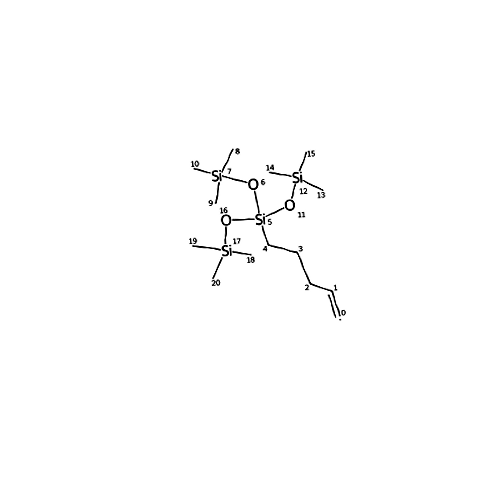 [CH]=CCCC[Si](O[Si](C)(C)C)(O[Si](C)(C)C)O[Si](C)(C)C